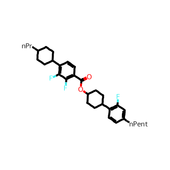 CCCCCc1ccc(C2CCC(OC(=O)c3ccc(C4CCC(CCC)CC4)c(F)c3F)CC2)c(F)c1